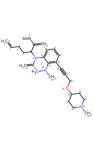 C=CCCC(C(=C)NC)N(C=C)c1cccc(C#CCOC2CCN(C)CC2)c1N(C)C